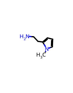 Cn1cccc1CCN